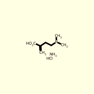 C=C(CCN(C)C)C(=O)O.Cl.N